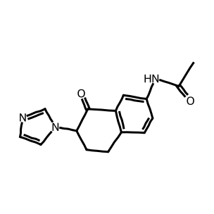 CC(=O)Nc1ccc2c(c1)C(=O)C(n1ccnc1)CC2